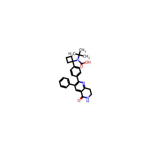 CC(C)(C)N(C(=O)O)C1(c2ccc(-c3nc4c(cc3-c3ccccc3)C(=O)NCC4)cc2)CCC1